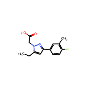 CCc1cc(-c2ccc(F)c(C)c2)nn1CC(=O)O